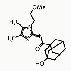 COCCn1c(C)c(C)sc1=NC(=O)C12CC3CC(CC(O)(C3)C1)C2